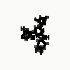 Cc1cc(C)n(-c2cc(N3C[C@H]4C[C@@H]3CO4)nc(NC3CCC(F)(F)CC3)n2)n1